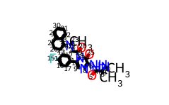 CN[C@@H](C)C(=O)Nc1ncc(-c2ccc(F)cc2)n(C(=O)CN(C)[C@@H]2CCCc3ccccc32)c1=O